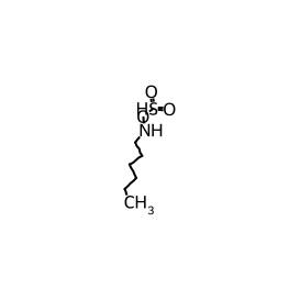 CCCCCCNO[SH](=O)=O